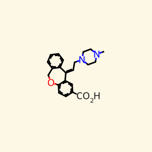 CN1CCN(C/C=C2\c3ccccc3COc3ccc(C(=O)O)cc32)CC1